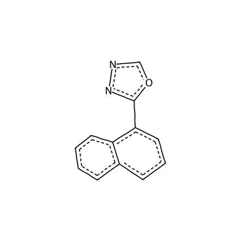 c1ccc2c(-c3nnco3)cccc2c1